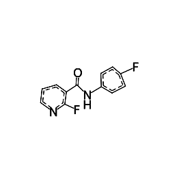 O=C(Nc1ccc(F)cc1)c1cccnc1F